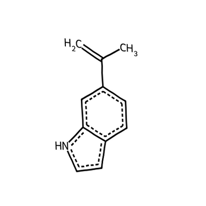 C=C(C)c1ccc2cc[nH]c2c1